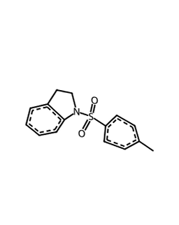 Cc1ccc(S(=O)(=O)N2CCc3ccccc32)cc1